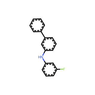 Fc1cccc(Nc2cccc(-c3ccccc3)c2)c1